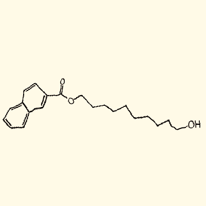 O=C(OCCCCCCCCCCO)c1ccc2ccccc2c1